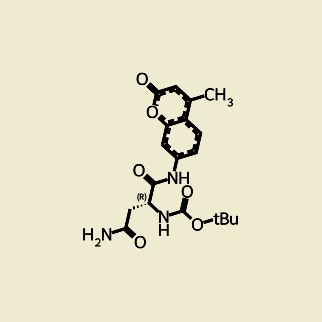 Cc1cc(=O)oc2cc(NC(=O)[C@@H](CC(N)=O)NC(=O)OC(C)(C)C)ccc12